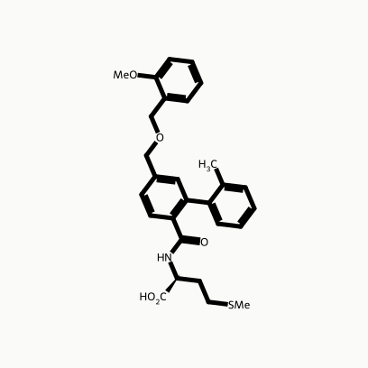 COc1ccccc1COCc1ccc(C(=O)N[C@@H](CCSC)C(=O)O)c(-c2ccccc2C)c1